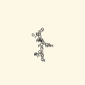 CC(C)c1ccccc1C1(C)CN(c2cccnc2)CCN1C1CC2(CCN(c3cc(Oc4cnc5[nH]ccc5c4)c(C(=O)NS(=O)(=O)c4ccc(NCC5(F)CCOCC5)c([N+](=O)[O-])c4)cc3F)CC2)C1